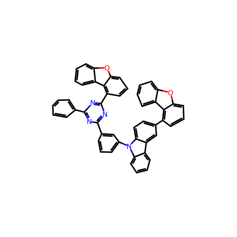 c1ccc(-c2nc(-c3cccc(-n4c5ccccc5c5cc(-c6cccc7oc8ccccc8c67)ccc54)c3)nc(-c3cccc4oc5ccccc5c34)n2)cc1